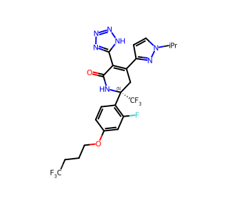 CC(C)n1ccc(C2=C(c3nnn[nH]3)C(=O)N[C@@](c3ccc(OCCCC(F)(F)F)cc3F)(C(F)(F)F)C2)n1